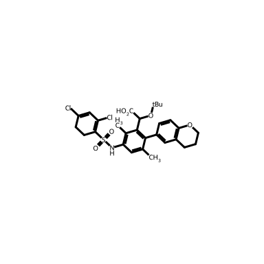 Cc1cc(NS(=O)(=O)C2=C(Cl)C=C(Cl)CC2)c(C)c(C(OC(C)(C)C)C(=O)O)c1-c1ccc2c(c1)CCCO2